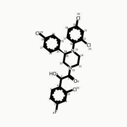 O=C(C(O)c1ccc(F)cc1Cl)N1CCN(c2ccc(Cl)cc2Cl)[C@H](c2ccc(Cl)cc2)C1